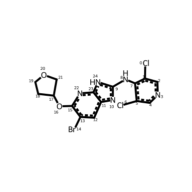 Clc1cncc(Cl)c1Nc1nc2cc(Br)c(OC3CCOC3)nc2[nH]1